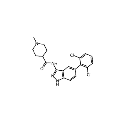 CN1CCC(C(=O)Nc2n[nH]c3ccc(-c4c(Cl)cccc4Cl)cc23)CC1